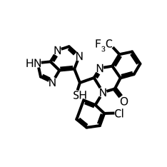 O=c1c2cccc(C(F)(F)F)c2nc(C(S)c2ncnc3[nH]cnc23)n1-c1ccccc1Cl